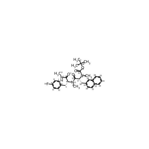 CNC(=O)[C@@H](Cc1ccc(F)cc1)N(C)C(=O)[C@@H](Cc1ccc2ccccc2c1)N(C)C(=O)OC(C)(C)C